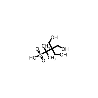 CC(C)(C(CO)(CO)CO)S(=O)(=O)O